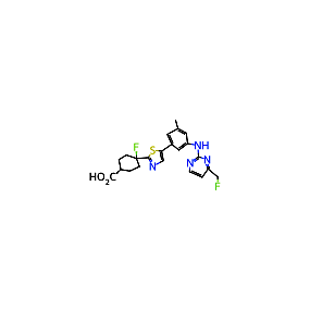 Cc1cc(Nc2nccc(CF)n2)cc(-c2cnc([C@]3(F)CC[C@@H](C(=O)O)CC3)s2)c1